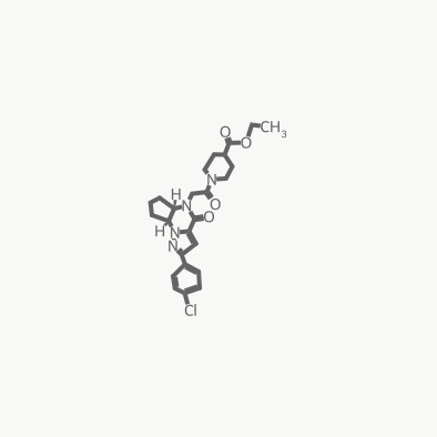 CCOC(=O)C1CCN(C(=O)CN2C(=O)c3cc(-c4ccc(Cl)cc4)nn3[C@@H]3CCC[C@@H]32)CC1